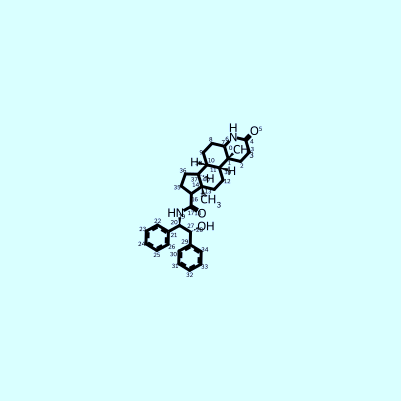 C[C@]12CCC(=O)NC1CC[C@@H]1[C@H]2CC[C@]2(C)C(C(=O)N[C@H](c3ccccc3)[C@H](O)c3ccccc3)CC[C@@H]12